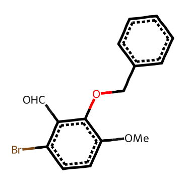 COc1ccc(Br)c(C=O)c1OCc1ccccc1